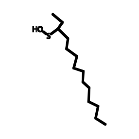 CCCCCCCCCCCC(CC)SO